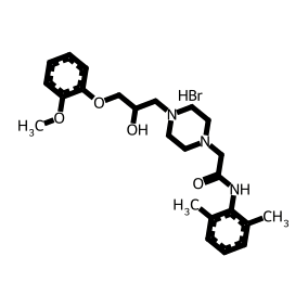 Br.COc1ccccc1OCC(O)CN1CCN(CC(=O)Nc2c(C)cccc2C)CC1